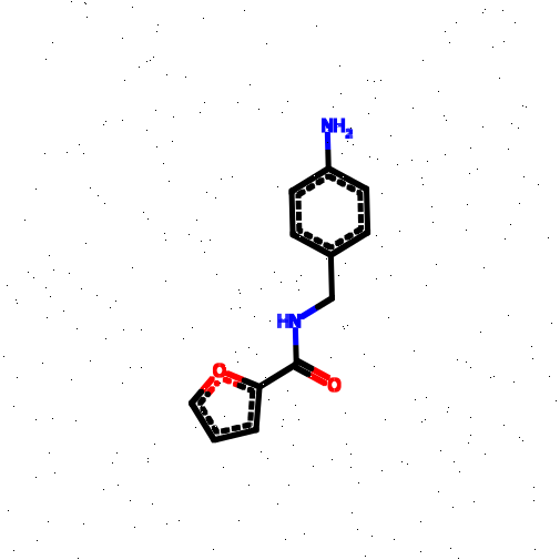 Nc1ccc(CNC(=O)c2ccco2)cc1